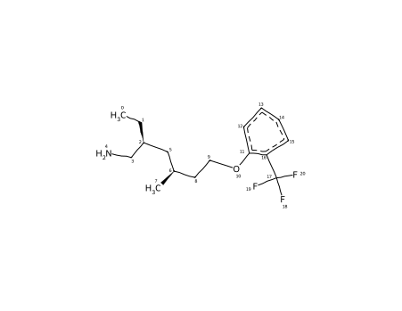 CC[C@H](CN)C[C@H](C)CCOc1ccccc1C(F)(F)F